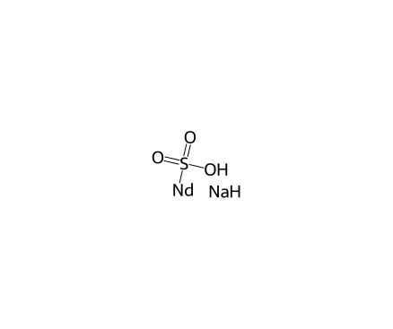 O=[S](=O)(O)[Nd].[NaH]